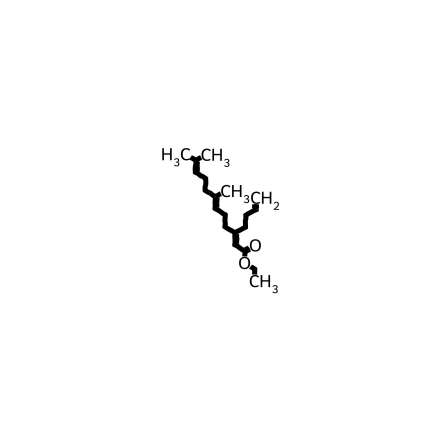 C=CCC/C(=C\C(=O)OCC)CC/C=C(\C)CCC=C(C)C